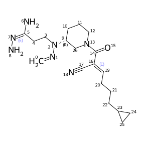 C=NN(CC/C(N)=N\N)[C@@H]1CCCN(C(=O)/C(C#N)=C/CCCC2CC2)C1